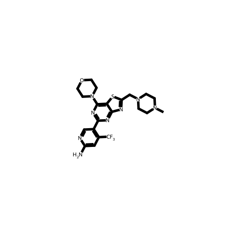 CN1CCN(Cc2nc3nc(-c4cnc(N)cc4C(F)(F)F)nc(N4CCOCC4)c3s2)CC1